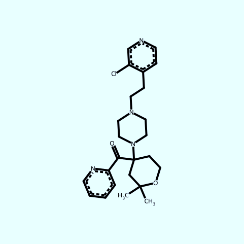 CC1(C)CC(C(=O)c2ccccn2)(N2CCN(CCc3ccncc3Cl)CC2)CCO1